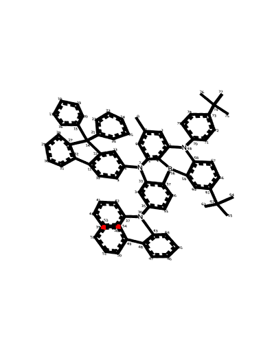 Cc1cc2c3c(c1)N(c1ccc4c(c1)C(c1ccccc1)(c1ccccc1)c1ccccc1-4)c1cc(N(c4ccccc4)c4ccccc4-c4ccccc4)ccc1B3c1cc(C(C)(C)C)ccc1N2c1ccc(C(C)(C)C)cc1